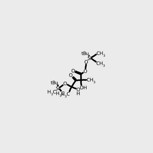 CC(O)(O[Si](C)(C)C(C)(C)C)C(=O)C(C)(O)C(=O)OO[Si](C)(C)C(C)(C)C